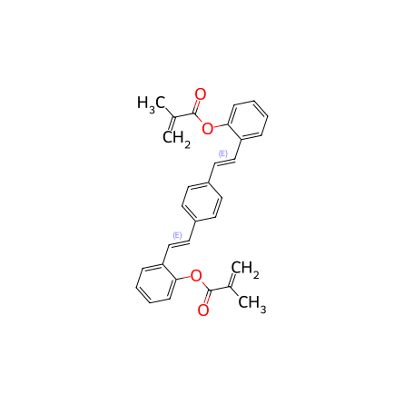 C=C(C)C(=O)Oc1ccccc1/C=C/c1ccc(/C=C/c2ccccc2OC(=O)C(=C)C)cc1